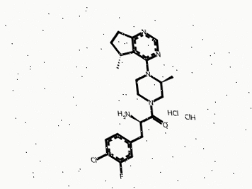 C[C@@H]1CCc2ncnc(N3CCN(C(=O)[C@H](N)Cc4ccc(Cl)c(F)c4)C[C@@H]3C)c21.Cl.Cl